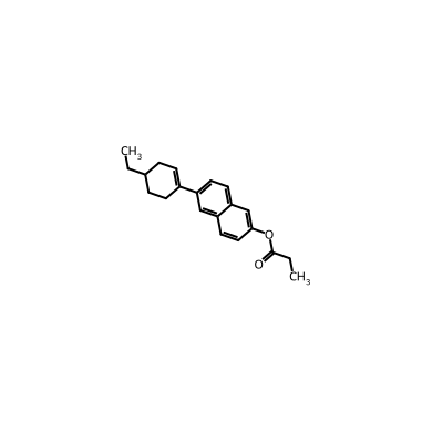 CCC(=O)Oc1ccc2cc(C3=CCC(CC)CC3)ccc2c1